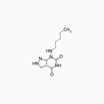 CCCCCNn1c(=O)[nH]c(=O)c2c[nH]nc21